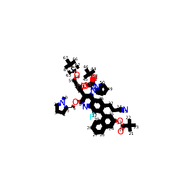 CN1CCC[C@H]1COc1nc2c(F)c(-c3cc(OC(=O)C(C)(C)C)cc4ccccc34)c(CCC#N)cc2c(N(C(=O)OC(C)(C)C)C2C3CC2N(C(=O)O)C3)c1C#CCO[Si](C)(C)C(C)(C)C